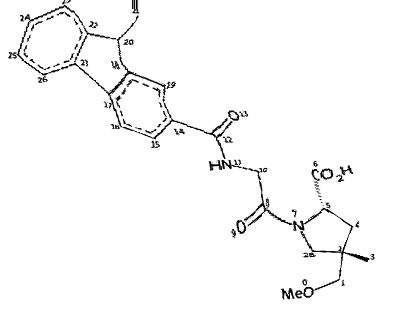 COC[C@@]1(C)C[C@@H](C(=O)O)N(C(=O)CNC(=O)c2ccc3c(c2)C(C)c2ccccc2-3)C1